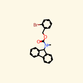 CN(C(=O)OCc1ccccc1Br)C1c2ccccc2-c2ccccc21